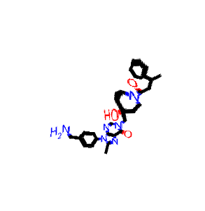 Cc1nc2c(=O)n(CC3(O)CCN(C(=O)CC(C)c4ccccc4)CC3)cnc2n1-c1ccc(CN)cc1